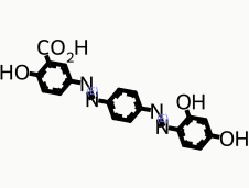 O=C(O)c1cc(/N=N/c2ccc(/N=N/c3ccc(O)cc3O)cc2)ccc1O